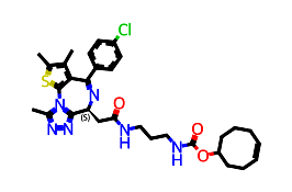 Cc1sc2c(c1C)C(c1ccc(Cl)cc1)=N[C@@H](CC(=O)NCCCNC(=O)OC1CCC=CCCC1)c1nnc(C)n1-2